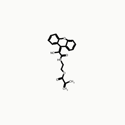 C=C(C)C(=O)OCCNC(=O)C(C#N)=C1c2ccccc2Oc2ccccc21